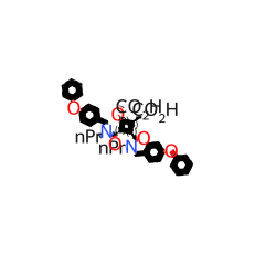 CCCN(Cc1ccc(Oc2ccccc2)cc1)C(=O)[C@@H]1[C@H](CC(=O)O)[C@@H](OC(=O)O)[C@H]1C(=O)N(CCC)Cc1ccc(Oc2ccccc2)cc1